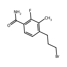 Cc1c(CCCBr)ccc(C(N)=O)c1F